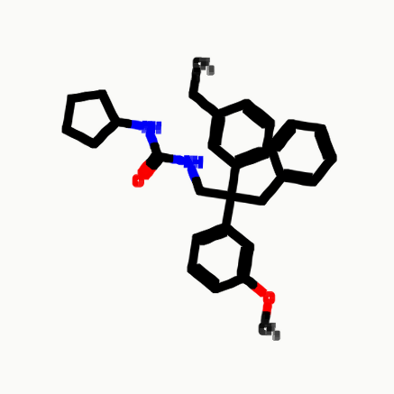 O=C(NCC(Cc1ccccc1)(c1cccc(CC(F)(F)F)c1)c1cccc(OC(F)(F)F)c1)NC1CCCC1